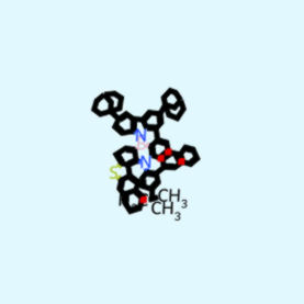 CC(C)(C)c1ccc(N2c3cc(-c4ccccc4)cc4c3B(c3ccc5sc6cc7ccccc7cc6c5c32)n2c3ccc(C56CCCC(CCC5)C6)cc3c3cc(C56CCCC(CCC5)C6)cc-4c32)c(-c2ccccc2)c1